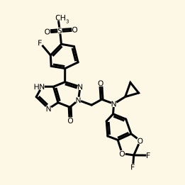 CS(=O)(=O)c1ccc(-c2nn(CC(=O)N(c3ccc4c(c3)OC(F)(F)O4)C3CC3)c(=O)c3nc[nH]c23)cc1F